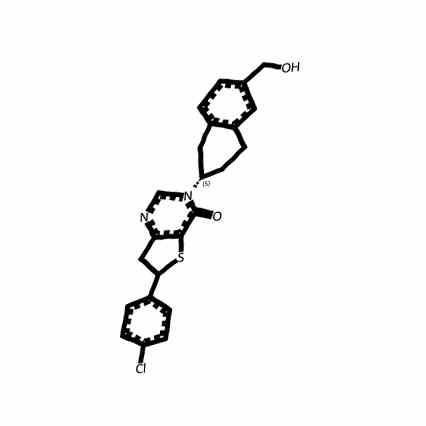 O=c1c2c(ncn1[C@H]1CCc3cc(CO)ccc3C1)CC(c1ccc(Cl)cc1)S2